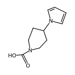 O=C(O)N1CCC(n2cccc2)CC1